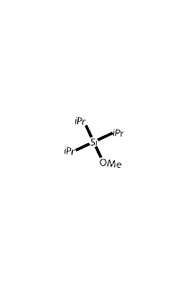 CO[Si](C(C)C)(C(C)C)C(C)C